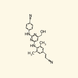 Cc1cc(/C=C/C#N)cc(C)c1Nc1cc(CO)nc(Nc2ccc(C#N)cc2)n1